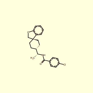 C[C@@H](NC(=O)c1ccc(Cl)cc1)[C@H]1CC[C@@]2(CC1)COc1ccccc12